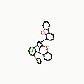 Clc1ccc(-c2cccc3c2oc2ccccc23)c2c1C1(c3ccccc3S2)c2ccccc2-c2ccccc21